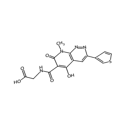 Cn1c(=O)c(C(=O)NCC(=O)O)c(O)c2cc(-c3ccsc3)nnc21